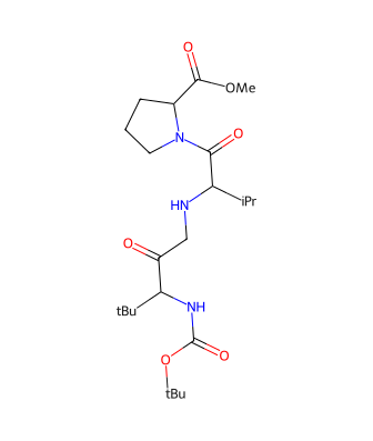 COC(=O)C1CCCN1C(=O)C(NCC(=O)C(NC(=O)OC(C)(C)C)C(C)(C)C)C(C)C